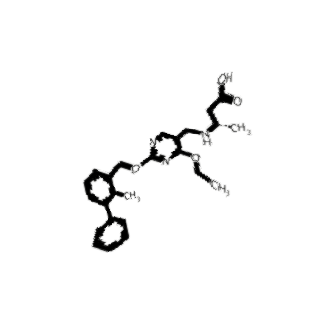 CCOc1nc(OCc2cccc(-c3ccccc3)c2C)ncc1CN[C@@H](C)CC(=O)O